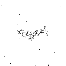 CC1CCC2C(CCC3C2CCC2(C)C(C(=O)Cn4cc(C#N)c(C5CC5)n4)C4CC4C32)C1